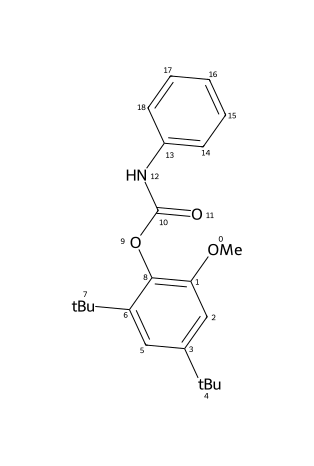 COc1cc(C(C)(C)C)cc(C(C)(C)C)c1OC(=O)Nc1ccccc1